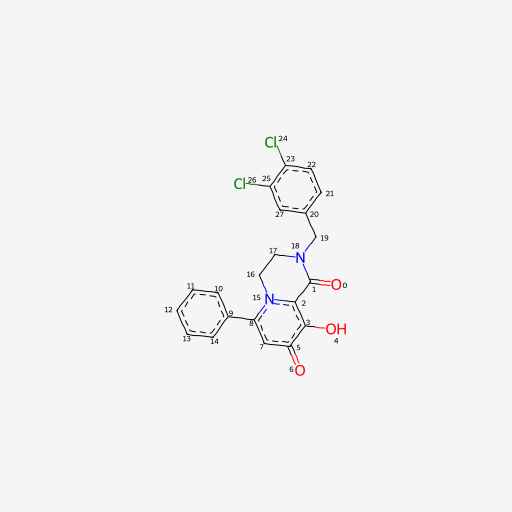 O=C1c2c(O)c(=O)cc(-c3ccccc3)n2CCN1Cc1ccc(Cl)c(Cl)c1